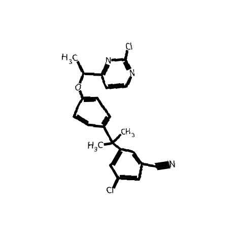 CC(Oc1ccc(C(C)(C)c2cc(Cl)cc(C#N)c2)cc1)c1ccnc(Cl)n1